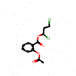 CC(=O)Oc1ccccc1C(=O)OC(Cl)CCCl